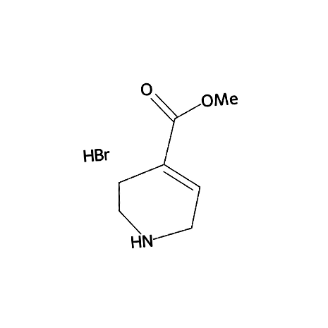 Br.COC(=O)C1=CCNCC1